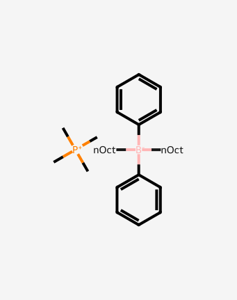 CCCCCCCC[B-](CCCCCCCC)(c1ccccc1)c1ccccc1.C[P+](C)(C)C